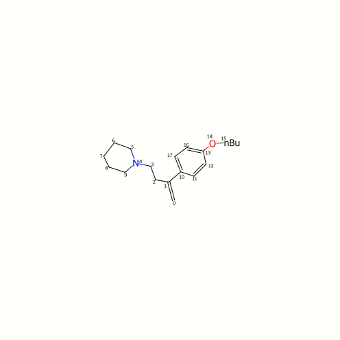 C=C(CCN1CCCCC1)c1ccc(OCCCC)cc1